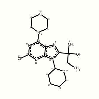 CCC(C)(O)c1nc2c(N3CCOCC3)nc(Cl)nc2n1C1CCCCO1